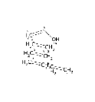 C=C.C=C.C=C.C=C.C=CO